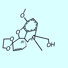 COc1ccc2c3c1OC1C4(C=CC[C@@]31CCN(C)C(CO)C2)OCCO4